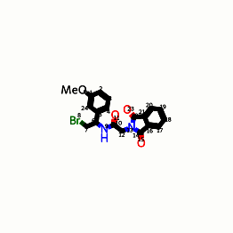 COc1cccc(C(CBr)NC(=O)CN2C(=O)c3ccccc3C2=O)c1